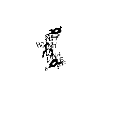 CCC[C@H](O)[C@H](CNCc1ccc(C)cc1C)NC(=O)CC(=O)Nc1cc(Br)cc(C(F)(F)F)c1